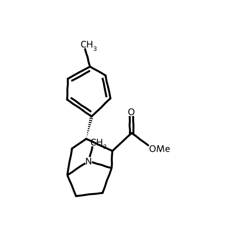 COC(=O)C1C2CCC(C[C@@H]1c1ccc(C)cc1)N2C